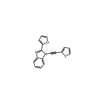 C(#Cn1c(-c2ccco2)nc2ccccc21)c1cccs1